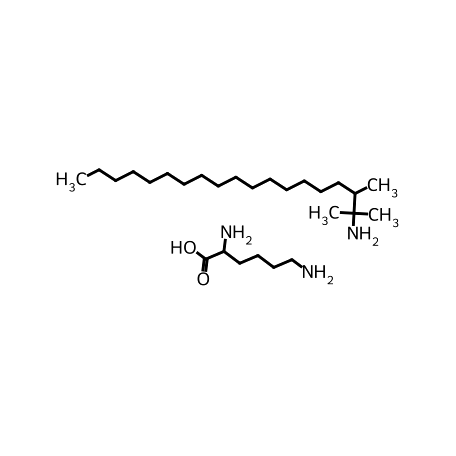 CCCCCCCCCCCCCCCCC(C)C(C)(C)N.NCCCCC(N)C(=O)O